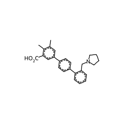 Cc1cc(-c2ccc(-c3ccccc3CN3CCCC3)cc2)cc(C(=O)O)c1C